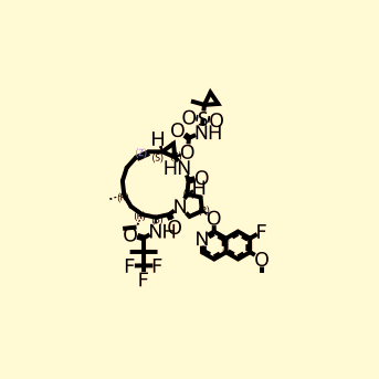 CC[C@@H]1C[C@H](C)CC/C=C\[C@@H]2C[C@]2(OC(=O)NS(=O)(=O)C2(C)CC2)NC(=O)[C@@H]2C[C@@H](Oc3nccc4cc(OC)c(F)cc34)CN2C(=O)[C@H]1NC(=O)C(C)(C)C(F)(F)F